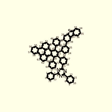 c1ccc(-c2nc(-c3ccccc3)nc(-c3cccc(-c4c(-c5cccc(-c6ccc7sc8ccccc8c7c6)c5)c(-c5ccccc5)c5c6cccc7c8ccccc8c8cccc(c5c4-c4ccccc4)c8c76)c3)n2)cc1